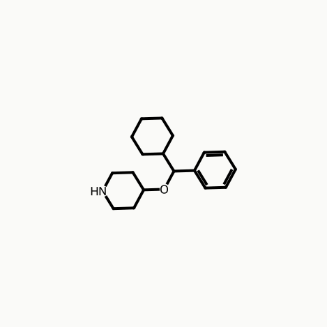 c1ccc(C(OC2CCNCC2)C2CCCCC2)cc1